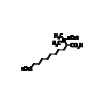 CCCCCCCCC=CCCCCCCC(C(=O)O)[Si](C)(C)CCCCCCCC